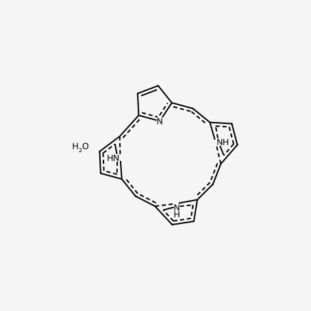 C1=Cc2nc1cc1ccc(cc3ccc(cc4ccc2[nH]4)[nH]3)[nH]1.O